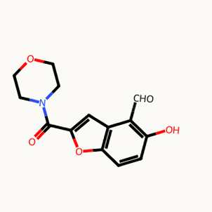 O=Cc1c(O)ccc2oc(C(=O)N3CCOCC3)cc12